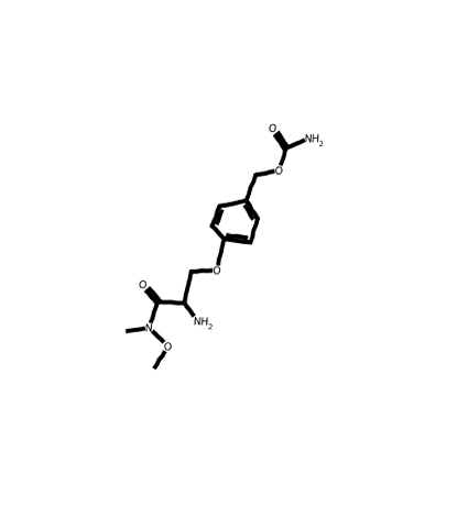 CON(C)C(=O)C(N)COc1ccc(COC(N)=O)cc1